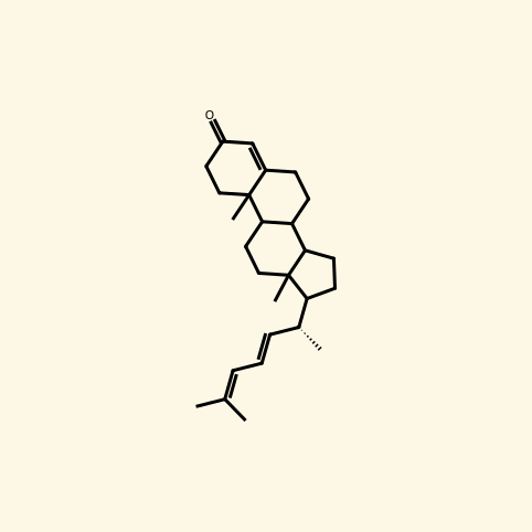 CC(C)=C/C=C/[C@@H](C)C1CCC2C3CCC4=CC(=O)CCC4(C)C3CCC21C